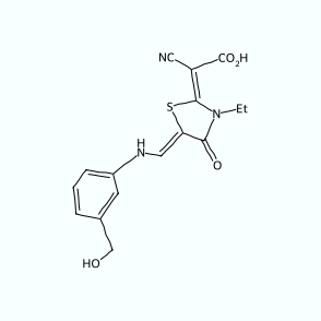 CCn1c(=C(C#N)C(=O)O)sc(=CNc2cccc(CO)c2)c1=O